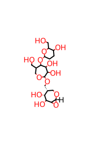 OCC1CO[C@H](OC[C@@H]2CO[C@@H]3OC3C(O)[C@@H]2O)C(O)C(O)C1O[C@@H]1CCC(O)C(CO)O1